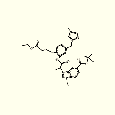 CCOC(=O)CCCc1ccc(Cn2cc(C)cn2)cc1NC(=O)C(C)n1cc(C)c2ccc(C(=O)OC(C)(C)C)cc21